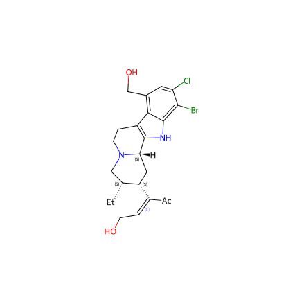 CC[C@@H]1CN2CCc3c([nH]c4c(Br)c(Cl)cc(CO)c34)[C@@H]2C[C@@H]1/C(=C\CO)C(C)=O